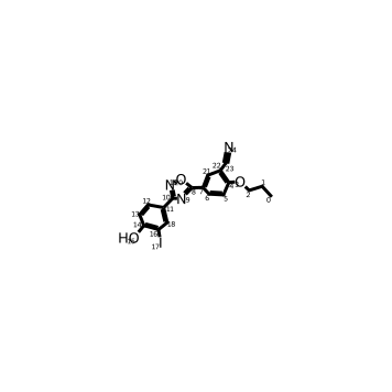 CCCOc1ccc(-c2nc(-c3ccc(O)c(I)c3)no2)cc1C#N